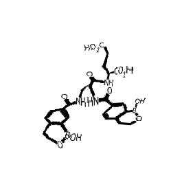 O=C(O)CC[C@H](NC(=O)[C@H](CNC(=O)c1ccc2c(c1)B(O)OCC2)NC(=O)c1ccc2c(c1)B(O)OCC2)C(=O)O